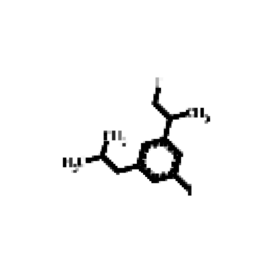 C[C](CF)c1cc(I)cc(CC(C)C)c1